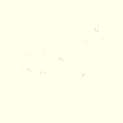 CCC(N)(CC)c1ccc(-c2ccc3[nH]ncc3c2C2CC2)nc1.O=S(=O)(O)O